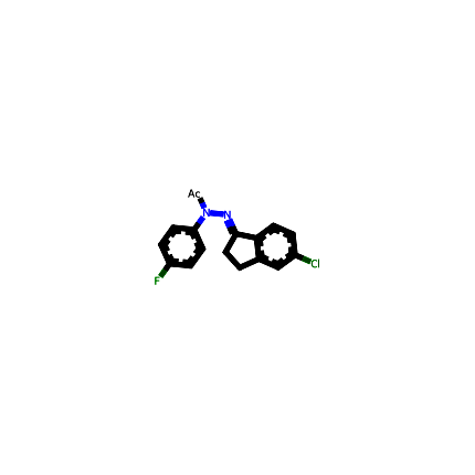 CC(=O)N(N=C1CCc2cc(Cl)ccc21)c1ccc(F)cc1